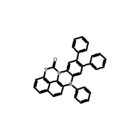 O=C1Sc2cccc3ccc4c(c23)N1c1cc(-c2ccccc2)c(-c2ccccc2)cc1B4c1ccccc1